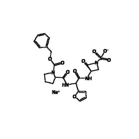 O=C(NC1CN(S(=O)(=O)[O-])C1=O)C(NC(=O)C1CCCN1C(=O)OCc1ccccc1)c1ccco1.[Na+]